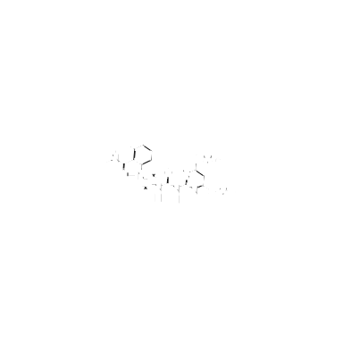 COc1cc(OC)nc(NC(=O)NS(=O)(=O)Nc2cccc(F)c2C(=O)N(C)C)n1